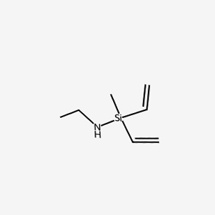 C=C[Si](C)(C=C)NCC